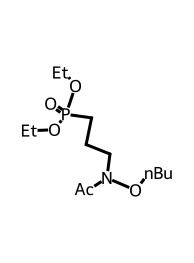 CCCCON(CCCP(=O)(OCC)OCC)C(C)=O